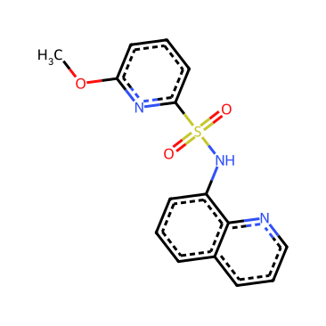 COc1cccc(S(=O)(=O)Nc2cccc3cccnc23)n1